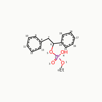 CCOP(=O)(O)OC(Cc1ccccc1)c1ccccc1